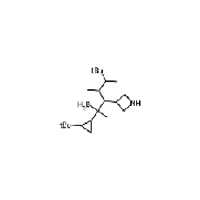 BC(C)(C1CC1C(C)(C)C)C(C1CNC1)C(C)C(C)C(C)(C)C